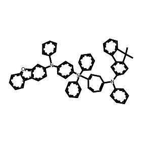 CC1(C)c2ccccc2-c2cc(N(C3=CC=CC([Si](c4ccccc4)(c4ccccc4)c4ccc(N(c5ccccc5)c5ccc6c(c5)oc5ccccc56)cc4)=CC3)c3ccccc3)ccc21